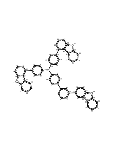 c1cc(-c2ccc(N(c3ccc(-c4cccc5oc6ccccc6c45)cc3)c3ccc(-c4cccc5oc6ccccc6c45)cc3)cc2)cc(-c2ccc3oc4ccccc4c3c2)c1